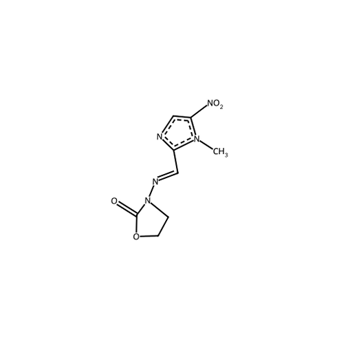 Cn1c([N+](=O)[O-])cnc1C=NN1CCOC1=O